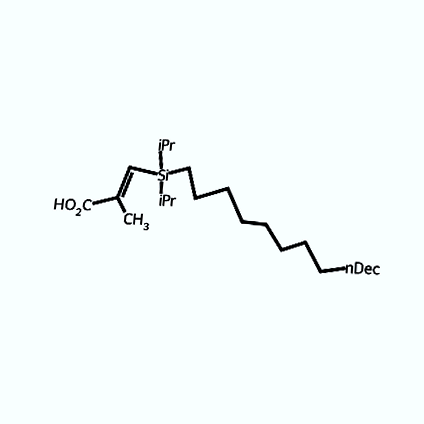 CCCCCCCCCCCCCCCCCC[Si](C=C(C)C(=O)O)(C(C)C)C(C)C